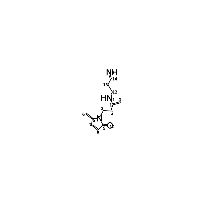 C=C(CCN1C(=C)C=CC1=O)NCCC=N